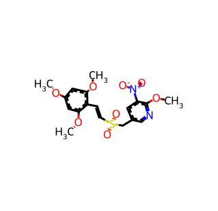 COc1cc(OC)c(/C=C/S(=O)(=O)Cc2cnc(OC)c([N+](=O)[O-])c2)c(OC)c1